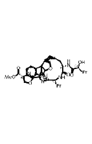 COC(=O)[C@H]1COC(c2nc3oc2C24c5ccccc5NC2Oc2ccc(cc24)C[C@H](NC(=O)[C@@H](O)C(C)C)C(=O)N[C@H]3C(C)C)=N1